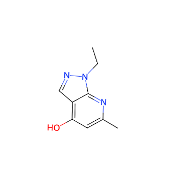 CCn1ncc2c(O)cc(C)nc21